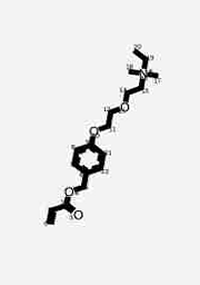 C=CC(=O)OCc1ccc(OCCOCC[N+](C)(C)CC)cc1